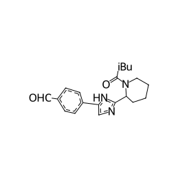 CCC(C)C(=O)N1CCCCC1c1ncc(-c2ccc(C=O)cc2)[nH]1